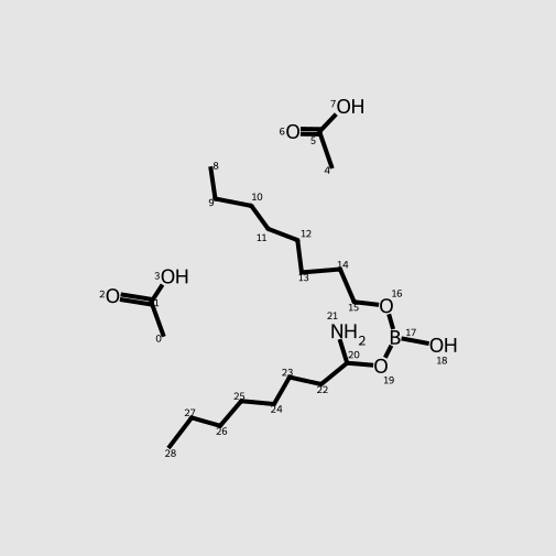 CC(=O)O.CC(=O)O.CCCCCCCCOB(O)OC(N)CCCCCCC